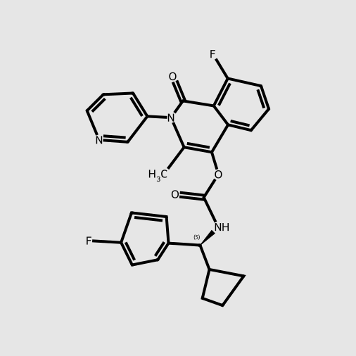 Cc1c(OC(=O)N[C@H](c2ccc(F)cc2)C2CCC2)c2cccc(F)c2c(=O)n1-c1cccnc1